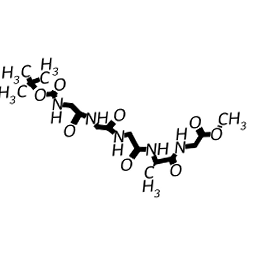 COC(=O)CNC(=O)[C@H](C)NC(=O)CNC(=O)CNC(=O)CNC(=O)OC(C)(C)C